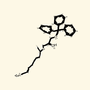 CCCCCCCCCCCCCCCC(I)OCC(O)COC(c1ccccc1)(c1ccccc1)c1ccccc1